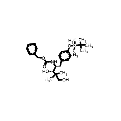 CC(C)(CO)[C@H](O)[C@H](Cc1ccc(O[Si](C)(C)C(C)(C)C)cc1)NC(=O)OCc1ccccc1